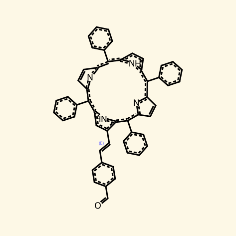 O=Cc1ccc(/C=C/c2cc3[nH]c2c(-c2ccccc2)c2nc(c(-c4ccccc4)c4ccc([nH]4)c(-c4ccccc4)c4nc(c3-c3ccccc3)C=C4)C=C2)cc1